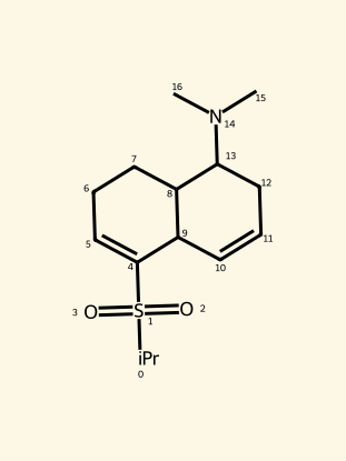 CC(C)S(=O)(=O)C1=CCCC2C1C=CCC2N(C)C